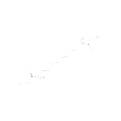 O=C(CBr)NCCOCCOCCNC(=O)CBr